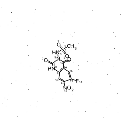 CS(=O)(=O)Nn1c(=O)[nH]c2cc([N+](=O)[O-])c(F)cc2c1=O